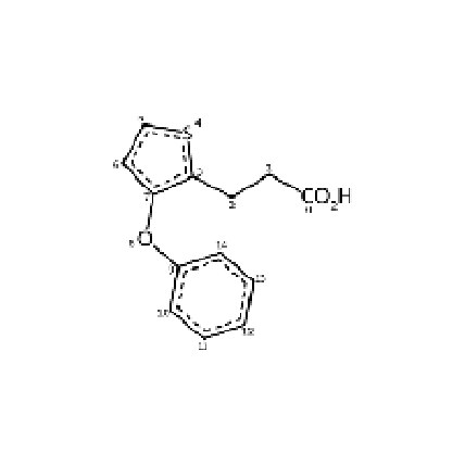 O=C(O)CCc1sccc1Oc1ccccc1